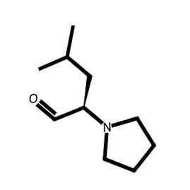 CC(C)C[C@H](C=O)N1CCCC1